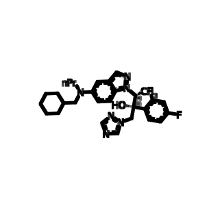 CCCN(CC1CCCCC1)c1ccc2c(cnn2[C@H](C)[C@](O)(Cn2cncn2)c2ccc(F)cc2F)c1